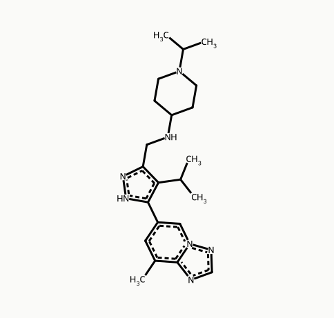 Cc1cc(-c2[nH]nc(CNC3CCN(C(C)C)CC3)c2C(C)C)cn2ncnc12